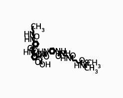 CCCNC(=O)Nc1cccc(S(=O)(=O)Nc2cccc([C@@H](CC(=O)O)NC(=O)Nc3ccc(NC(=O)NCCNC(=O)CCCC(=O)NC(C)SC)cc3)c2)c1